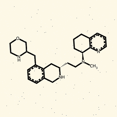 CN(CC[C@H]1Cc2c(cccc2CC2COCCN2)CN1)[C@H]1CCCc2cccnc21